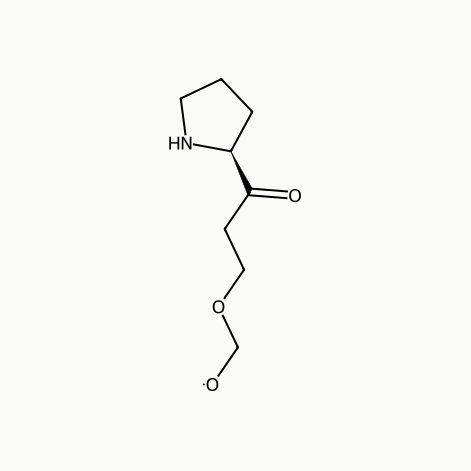 [O]COCCC(=O)[C@@H]1CCCN1